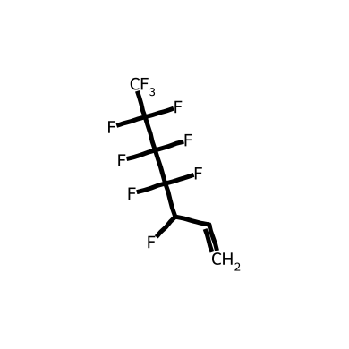 C=CC(F)C(F)(F)C(F)(F)C(F)(F)C(F)(F)F